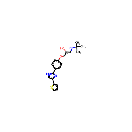 CC(C)(C)NC[C@H](O)COc1ccc(-c2nc(-c3cccs3)c[nH]2)cc1